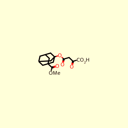 COC(=O)C12CC3CC(CC(OC(=O)CC(=O)C(=O)O)(C3)C1)C2